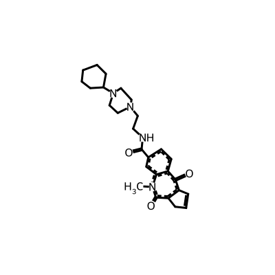 Cn1c(=O)c2c(c(=O)c3ccc(C(=O)NCCN4CCN(C5CCCCC5)CC4)cc31)C=CC2